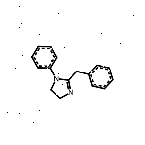 c1ccc(CC2=NCCN2c2ccccc2)cc1